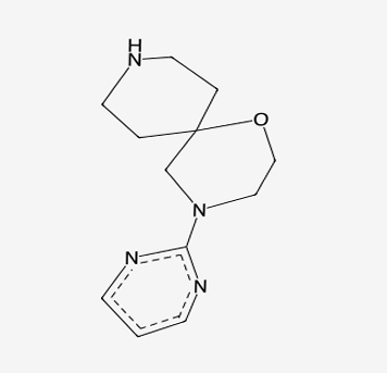 c1cnc(N2CCOC3(CCNCC3)C2)nc1